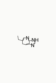 CCC1=CN=c2[nH]cnc2=CC1